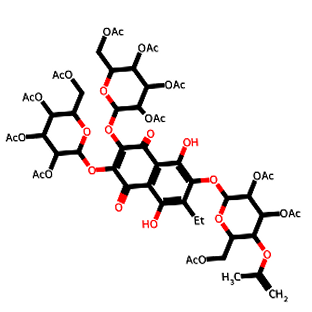 C=C(C)OC1C(COC(C)=O)OC(Oc2c(O)c3c(c(O)c2CC)C(=O)C(OC2OC(COC(C)=O)C(OC(C)=O)C(OC(C)=O)C2OC(C)=O)=C(OC2OC(COC(C)=O)C(OC(C)=O)C(OC(C)=O)C2OC(C)=O)C3=O)C(OC(C)=O)C1OC(C)=O